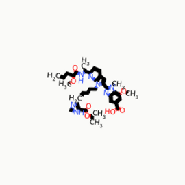 C=CCCCn1c(-c2nc3cc(C(=O)O)cc(OC)c3n2C)cc2ccc(C(C)NC(=O)C(CC=C)OC)nc21.CC(C)OC(=O)c1cnc[nH]1